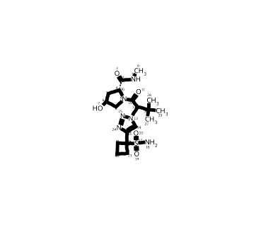 CNC(=O)[C@H]1CC(O)CN1C(=O)C(n1cc(C2(S(N)(=O)=O)CCC2)nn1)C(C)(C)C